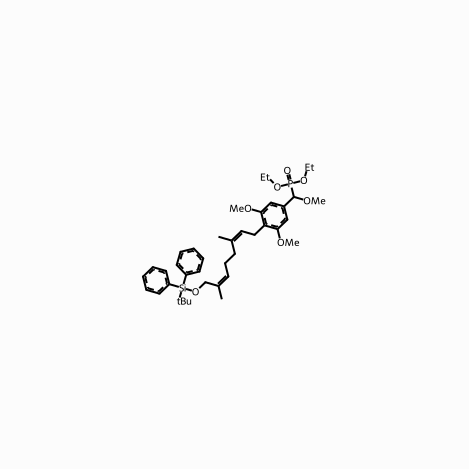 CCOP(=O)(OCC)C(OC)c1cc(OC)c(CC=C(C)CCC=C(C)CO[Si](c2ccccc2)(c2ccccc2)C(C)(C)C)c(OC)c1